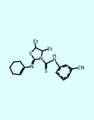 CCC1SC(=NC2=CCCCC2)N(C(=S)Nc2cccc(C#N)c2)C1CC